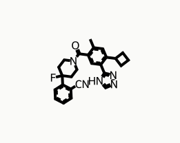 Cc1cc(C2CCC2)c(-c2nnc[nH]2)cc1C(=O)N1CCC(F)(c2ccccc2C#N)CC1